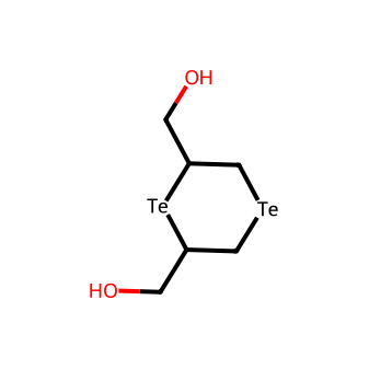 OCC1C[Te]CC(CO)[Te]1